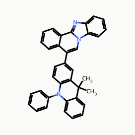 CC1(C)c2ccccc2N(c2ccccc2)c2ccc(-c3cn4c5ccccc5nc4c4ccccc34)cc21